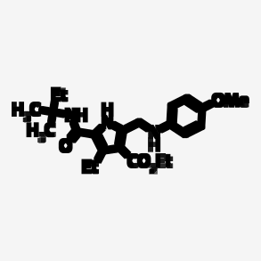 CCOC(=O)c1c(CNc2ccc(OC)cc2)[nH]c(C(=O)NC(C)(C)CC)c1CC